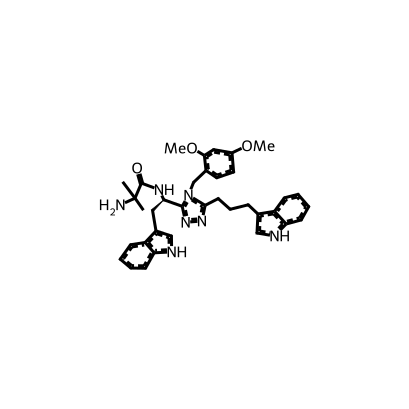 COc1ccc(Cn2c(CCCc3c[nH]c4ccccc34)nnc2[C@@H](Cc2c[nH]c3ccccc23)NC(=O)C(C)(C)N)c(OC)c1